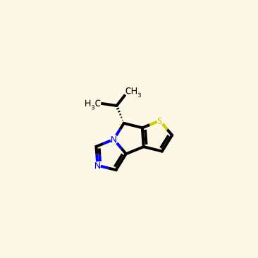 CC(C)[C@@H]1c2sccc2-c2cncn21